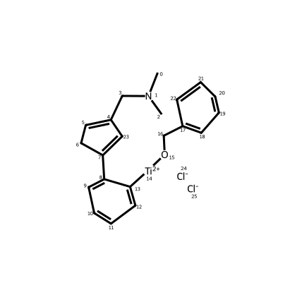 CN(C)CC1=CCC(c2cccc[c]2[Ti+2][O]Cc2ccccc2)=C1.[Cl-].[Cl-]